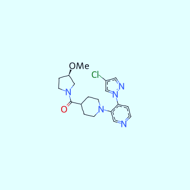 CO[C@@H]1CCN(C(=O)C2CCN(c3cnccc3-n3cc(Cl)cn3)CC2)C1